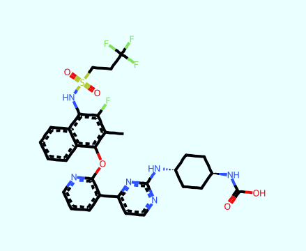 Cc1c(F)c(NS(=O)(=O)CCC(F)(F)F)c2ccccc2c1Oc1ncccc1-c1ccnc(N[C@H]2CC[C@H](NC(=O)O)CC2)n1